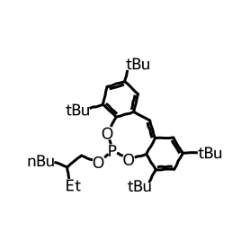 CCCCC(CC)COP1Oc2c(cc(C(C)(C)C)cc2C(C)(C)C)/C=C2/C=C(C(C)(C)C)C=C(C(C)(C)C)C2O1